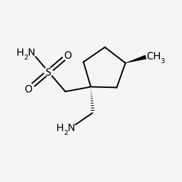 C[C@@H]1CC[C@](CN)(CS(N)(=O)=O)C1